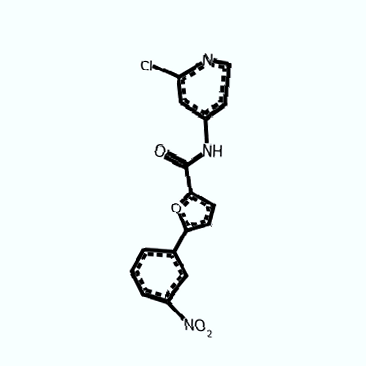 O=C(Nc1ccnc(Cl)c1)c1ccc(-c2cccc([N+](=O)[O-])c2)o1